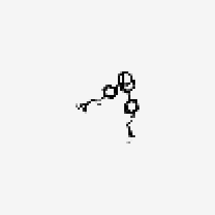 c1cc(C23CC4CC(C2)CC(c2ccc(OCC5CO5)cc2)(C4)C3)ccc1OCC1CO1